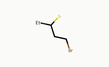 CCC([S])CCBr